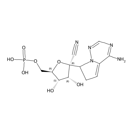 N#C[C@@]1(C2CC=C3C(N)=NC=NN32)O[C@H](COP(=O)(O)O)[C@@H](O)[C@H]1O